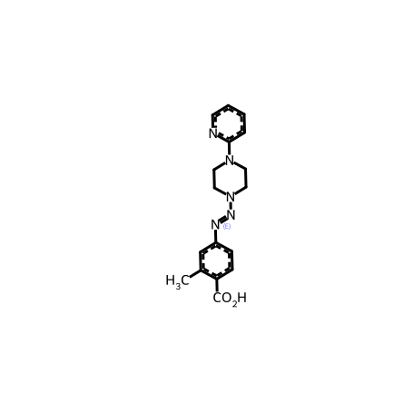 Cc1cc(/N=N/N2CCN(c3ccccn3)CC2)ccc1C(=O)O